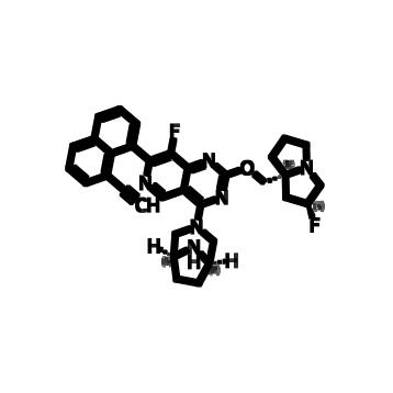 C#Cc1cccc2cccc(-c3ncc4c(N5C[C@H]6CC[C@@H](C5)N6)nc(OC[C@]56CCCN5C[C@@H](F)C6)nc4c3F)c12